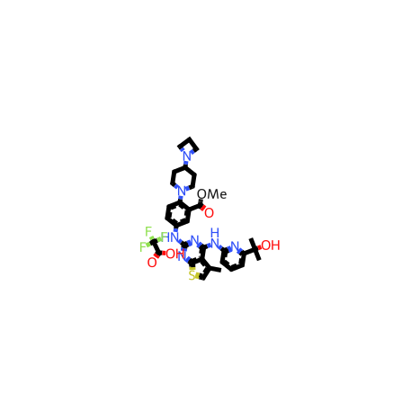 COC(=O)c1cc(Nc2nc(Nc3cccc(C(C)(C)O)n3)c3c(C)csc3n2)ccc1N1CCC(N2CCC2)CC1.O=C(O)C(F)(F)F